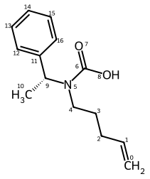 C=CCCCN(C(=O)O)[C@H](C)c1ccccc1